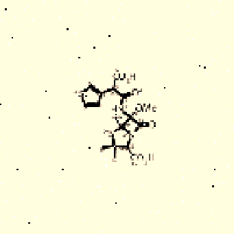 CO[C@@]1(NC(=O)[C@H](C(=O)O)c2ccsc2)C(=O)N2[C@@H](C(=O)O)C(C)(C)S[C@@H]21